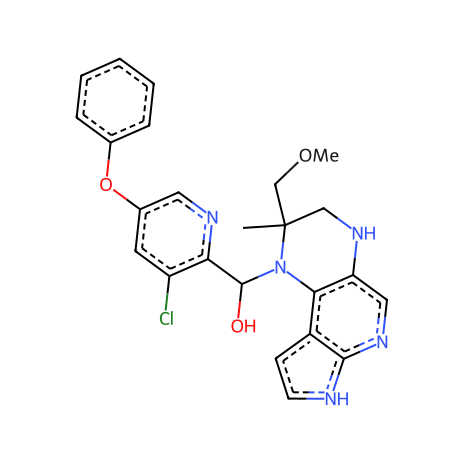 COCC1(C)CNc2cnc3[nH]ccc3c2N1C(O)c1ncc(Oc2ccccc2)cc1Cl